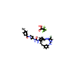 N#Cc1ccc(C(=O)N2CC[C@H](NC(=O)Nc3ccc4cc3CCc3cccc(c3)Nc3ncc(Cl)c(n3)N4)C2)cc1.O=C(O)C(F)(F)F